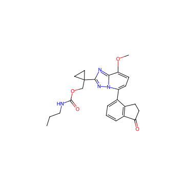 CCCNC(=O)OCC1(c2nc3c(OC)ccc(-c4cccc5c4CCC5=O)n3n2)CC1